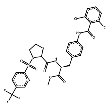 COC(=O)[C@H](Cc1ccc(NC(=O)c2c(Cl)cccc2Cl)cc1)NC(=O)C1SCCN1S(=O)(=O)c1ccc(C(F)(F)F)cn1